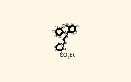 CCOC(=O)[C@@H]1CCCN(CCCN2c3ccccc3COc3ccccc32)C1